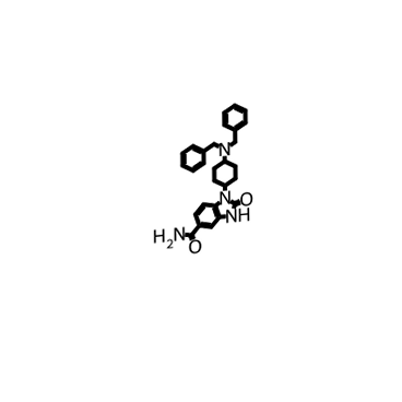 NC(=O)c1ccc2c(c1)[nH]c(=O)n2C1CCC(N(Cc2ccccc2)Cc2ccccc2)CC1